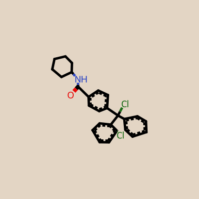 O=C(NC1CCCCC1)c1ccc(C(Cl)(c2ccccc2)c2ccccc2Cl)cc1